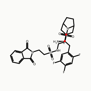 N[C@H](Cc1cc(F)c(F)cc1F)C1CC2CCC(C1)N2S(=O)(=O)CCNS(=O)(=O)CCN1C(=O)c2ccccc2C1=O